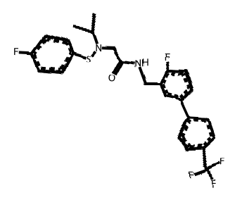 CC(C)N(CC(=O)NCc1cc(-c2ccc(C(F)(F)F)cc2)ccc1F)Sc1ccc(F)cc1